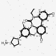 CCN1C(=O)N(c2c(F)cc(N3CC[C@H](N)C3)cc2F)c2cc(Cl)ccc2-c2cc(Cl)cnc21